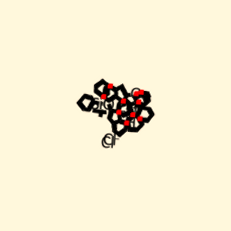 CC(C)(C)[Si](OC1=Cc2ccccc2[CH]1[Zr+2]([CH]1C(O[Si](c2ccccc2)(c2ccccc2)C(C)(C)C)=Cc2ccccc21)[SiH](c1ccccc1)c1ccccc1)(c1ccccc1)c1ccccc1.[Cl-].[Cl-]